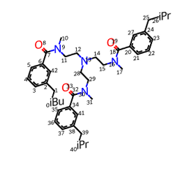 CCC(C)Cc1cccc(C(=O)N(C)CCN(CCN(C)C(=O)c2cccc(CC(C)C)c2)CCN(C)C(=O)c2cccc(CC(C)C)c2)c1